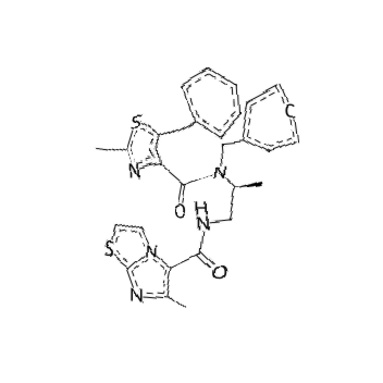 Cc1nc(C(=O)N(Cc2ccccc2)[C@@H](C)CNC(=O)c2c(C)nc3sccn23)c(-c2ccccc2)s1